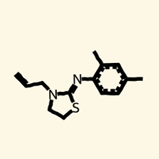 C=CCN1CCSC1=Nc1ccc(C)cc1C